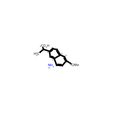 COc1ccc2cc(C(C)C(=O)O)ccc2c1.N